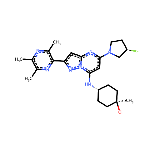 Cc1nc(C)c(-c2cc3nc(N4CC[C@@H](F)C4)cc(N[C@H]4CC[C@](C)(O)CC4)n3n2)nc1C